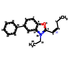 CC/C=C\c1oc2ccc(-c3ccccc3)cc2[n+]1CC